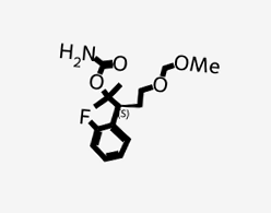 COCOCC[C@@H](c1ccccc1F)C(C)(C)OC(N)=O